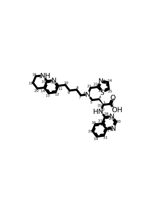 O=C(O)[C@H](CCN(CCCCc1ccc2c(n1)NCCC2)Cc1nccs1)Nc1ncnc2ccccc12